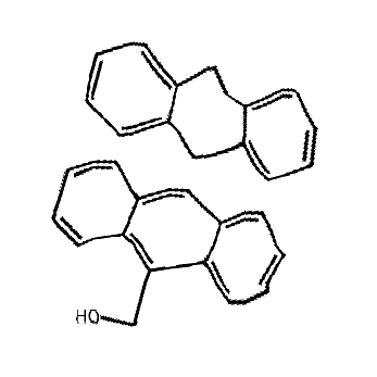 OCc1c2ccccc2cc2ccccc12.c1ccc2c(c1)Cc1ccccc1C2